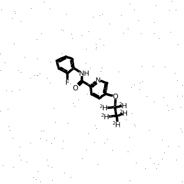 [2H]C([2H])([2H])C([2H])([2H])Oc1ccc(C(=O)Nc2ccccc2F)nc1